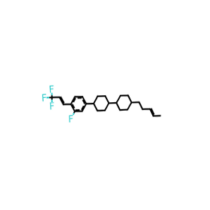 C/C=C/CCC1CCC(C2CCC(c3ccc(/C=C/C(F)(F)F)c(F)c3)CC2)CC1